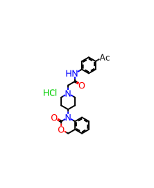 CC(=O)c1ccc(NC(=O)CN2CCC(N3C(=O)OCc4ccccc43)CC2)cc1.Cl